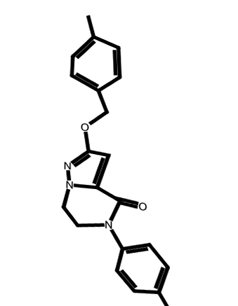 Cc1ccc(COc2cc3n(n2)CCN(c2ccc(C)cc2)C3=O)cc1